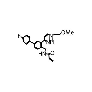 C=CC(=O)NCc1ccc(-c2ccc(F)cc2)cc1C(=N)/C=C\NCCOC